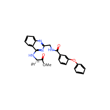 COC(=O)[C@@H](Nc1nc(CNC(=O)c2cccc(Oc3ccccc3)c2)nc2ccccc12)C(C)C